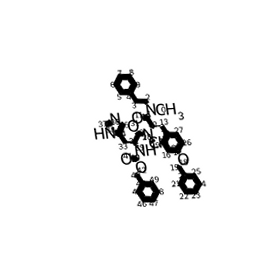 CN(CCc1ccccc1)C(=O)[C@H](Cc1ccc(OCc2ccccc2)cc1)N(C)C(=O)[C@H](Cc1cnc[nH]1)NC(=O)OCc1ccccc1